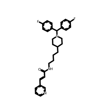 O=C(C=Cc1cccnc1)NCCCCC1CCN(C(c2ccc(F)cc2)c2ccc(F)cc2)CC1